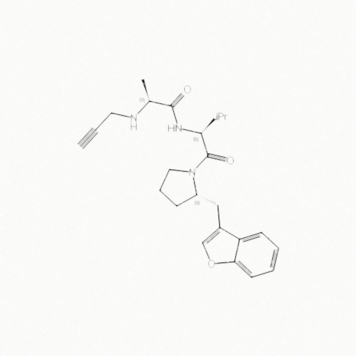 C#CCN[C@@H](C)C(=O)N[C@H](C(=O)N1CCC[C@H]1Cc1coc2ccccc12)C(C)C